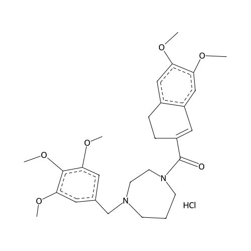 COc1cc2c(cc1OC)CCC(C(=O)N1CCCN(Cc3cc(OC)c(OC)c(OC)c3)CC1)=C2.Cl